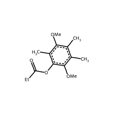 CCC(=O)Oc1c(C)c(OC)c(C)c(C)c1OC